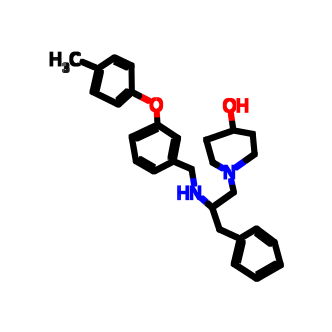 Cc1ccc(Oc2cccc(CNC(Cc3ccccc3)CN3CCC(O)CC3)c2)cc1